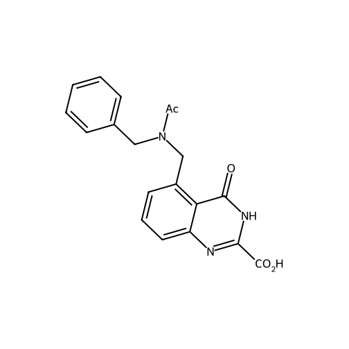 CC(=O)N(Cc1ccccc1)Cc1cccc2nc(C(=O)O)[nH]c(=O)c12